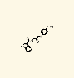 CCCCCCCCc1ccc(OCC(=O)COC(=O)c2c[nH]c3ccccc23)cc1